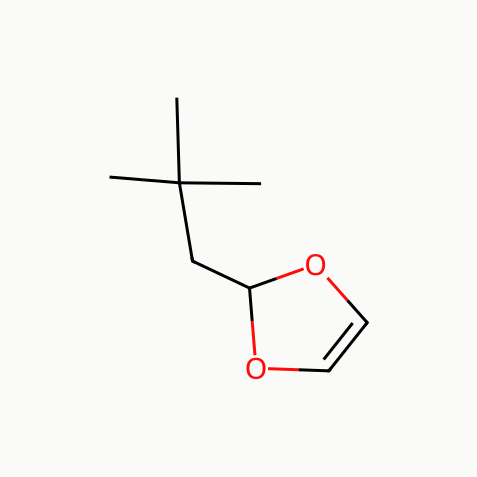 CC(C)(C)CC1OC=CO1